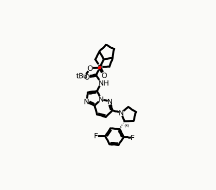 CC(C)(C)OC(=O)C1C2CCC1CN(C(=O)Nc1cnc3ccc(N4CCC[C@@H]4c4cc(F)ccc4F)nn13)C2